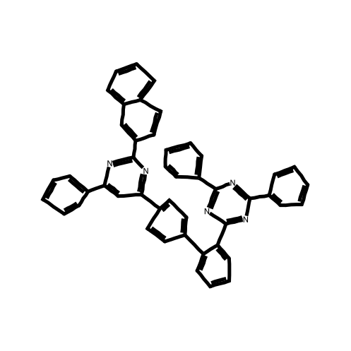 c1ccc(-c2cc(-c3ccc(-c4ccccc4-c4nc(-c5ccccc5)nc(-c5ccccc5)n4)cc3)nc(-c3ccc4ccccc4c3)n2)cc1